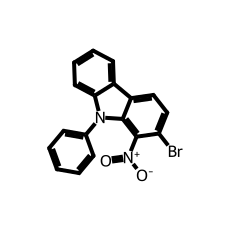 O=[N+]([O-])c1c(Br)ccc2c3ccccc3n(-c3ccccc3)c12